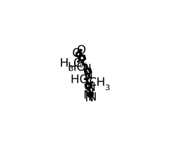 Cc1nc(-n2cnnn2)ccc1C(O)CN1CCN(C[C@H](O)c2ccc3c(c2C)COC3=O)CC1